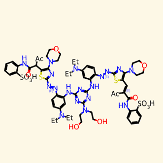 CCN(CC)c1ccc(/N=N/c2nc(N3CCOCC3)c(/C=C(\C(C)=O)C(=O)Nc3ccccc3S(=O)(=O)O)s2)c(Nc2nc(Nc3cc(N(CC)CC)ccc3/N=N/c3nc(N4CCOCC4)c(C(C(C)=O)C(=O)Nc4ccccc4S(=O)(=O)O)s3)nc(N(CCO)CCO)n2)c1